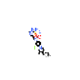 CC1CN(c2ccc(N3CC(CN(C)C(N)=S)OC3=O)cc2F)CCC1=CC#N